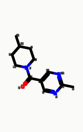 Cc1ncc(C(=O)N2CCC(C)CC2)cn1